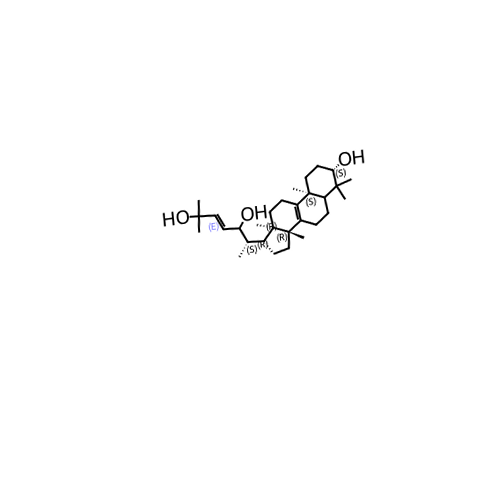 C[C@H](C(O)/C=C/C(C)(C)O)[C@H]1CC[C@@]2(C)C3=C(CC[C@]12C)[C@@]1(C)CC[C@H](O)C(C)(C)C1CC3